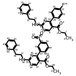 CCOC(=O)c1cnc(NCCc2ccccn2)nc1-c1ccc(F)cc1.CCOC(=O)c1cnc(NCCc2ccccn2)nc1-c1cccc([N+](=O)[O-])c1